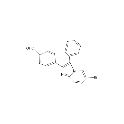 O=Cc1ccc(-c2nc3ccc(Br)cn3c2-c2ccccc2)cc1